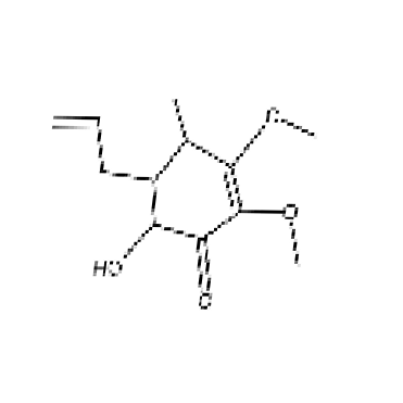 C=CCC1C(C)C(OC)=C(OC)C(=O)C1O